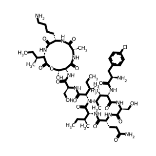 CC[C@H](C)[C@H](NC(=O)[C@H](N)Cc1ccc(Cl)cc1)C(=O)N[C@@H](CO)C(=O)N[C@H](CCC(N)=O)C(=O)N[C@@H](C(=O)N[C@H](C(=O)N[C@@H](CO)C(=O)N[C@H]1C(=O)N[C@@H](C)C(=O)N[C@@H](CCCCN)C(=O)N[C@@H]([C@@H](C)CC)C(=O)O[C@H]1C)[C@@H](C)CC)[C@@H](C)CC